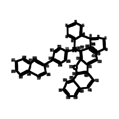 c1ccc(-c2ccccc2N(c2ccc(-c3ccc4ccccc4c3)cc2)c2cccc3c2oc2c4ccccc4ccc32)cc1